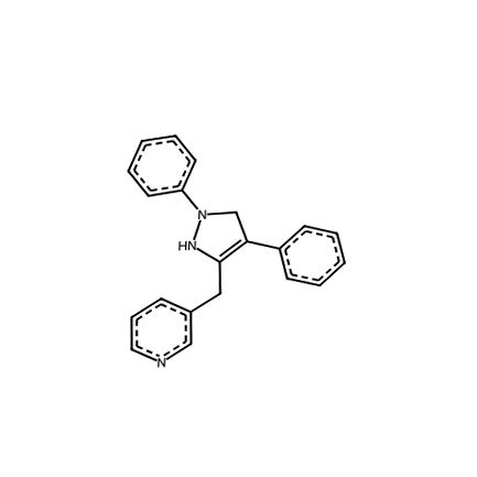 c1ccc(C2=C(Cc3cccnc3)NN(c3ccccc3)C2)cc1